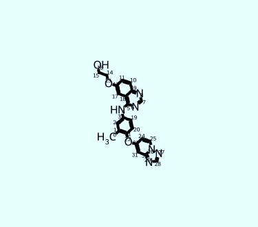 Cc1cc(Nc2ncnc3ccc(OCCO)cc23)ccc1Oc1ccn2ncnc2c1